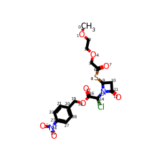 COCCOCC(=O)SC1CC(=O)N1C(Cl)C(=O)OCc1ccc([N+](=O)[O-])cc1